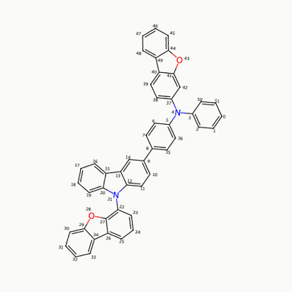 c1ccc(N(c2ccc(-c3ccc4c(c3)c3ccccc3n4-c3cccc4c3oc3ccccc34)cc2)c2ccc3c(c2)oc2ccccc23)cc1